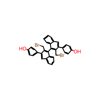 Oc1ccc(-c2cc3ccccc3c(-c3c(CBr)c(-c4ccc(O)cc4)cc4ccccc34)c2CBr)cc1